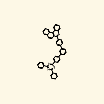 c1ccc(-c2nc(-c3ccccc3)nc(-c3ccc(-c4cccc(-c5ccc(-c6nc7ccccc7c7c6ccc6ccccc67)cc5)c4)cc3)n2)cc1